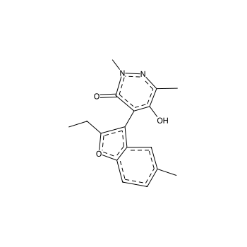 CCc1oc2ccc(C)cc2c1-c1c(O)c(C)nn(C)c1=O